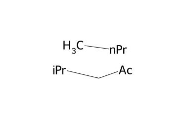 CC(=O)CC(C)C.CCCC